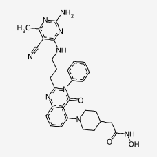 Cc1nc(N)nc(NCCCc2nc3cccc(N4CCC(CC(=O)NO)CC4)c3c(=O)n2-c2ccccc2)c1C#N